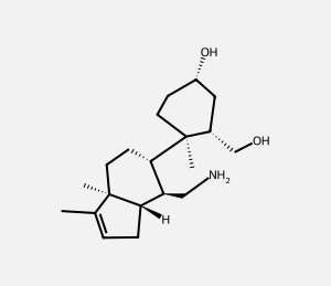 CC1=CC[C@H]2[C@H](CN)[C@@H]([C@@]3(C)CC[C@H](O)C[C@@H]3CO)CC[C@]12C